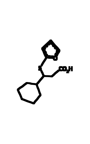 O=C(O)CC(Sc1ccco1)C1CCCCC1